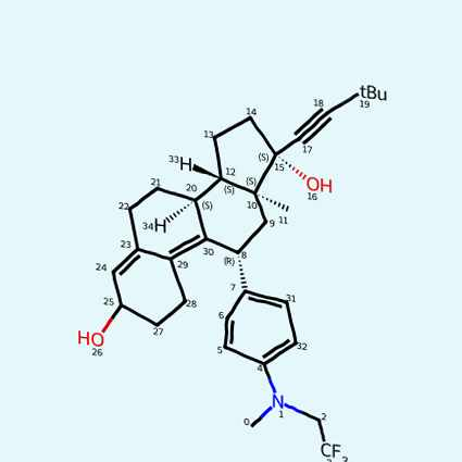 CN(CC(F)(F)F)c1ccc([C@H]2C[C@@]3(C)[C@@H](CC[C@@]3(O)C#CC(C)(C)C)[C@@H]3CCC4=CC(O)CCC4=C32)cc1